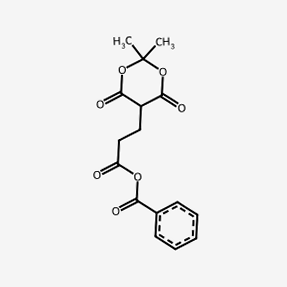 CC1(C)OC(=O)C(CCC(=O)OC(=O)c2ccccc2)C(=O)O1